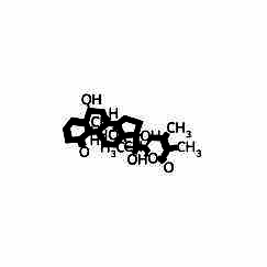 CC1=C(C)C(=O)O[C@@H]([C@](C)(O)[C@]2(O)CC[C@@]3(O)[C@@H]4C[C@@H](O)C5=CC=CC(=O)[C@]5(C)[C@H]4CC[C@]23C)C1